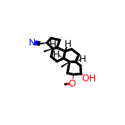 CO[C@@H]1C[C@@]2(C)[C@@H](CC[C@@H]3[C@@H]2CC[C@]2(C)[C@@H](C#N)CC[C@@H]32)C[C@@H]1O